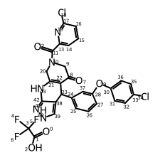 O=C(O)C(F)(F)F.O=C1CN(C(=O)c2cccc(Cl)n2)CC2=C1C(c1cccc(Oc3ccc(Cl)cc3)c1)c1c[nH]nc1N2